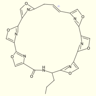 CCCC1NC(=O)c2coc(n2)-c2coc(n2)-c2coc(n2)C/C=C/c2coc(n2)-c2coc(n2)-c2coc1n2